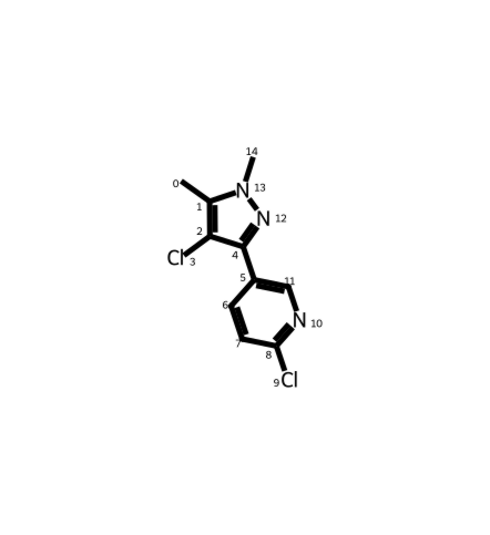 Cc1c(Cl)c(-c2ccc(Cl)nc2)nn1C